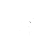 CC(C)[CH2][Zr].CN(C)C